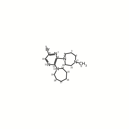 CN1CCCN(c2nc(Br)cnc2N2CCCCCC2)CC1